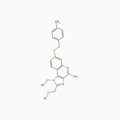 CCOCc1nc2c(N)nc3cc(OCc4ccc(C)cc4)ccc3c2n1CC(C)C